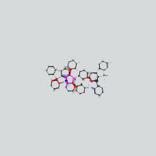 CC1(C)c2ccccc2-c2ccc3c(c21)c1ccccc1n3-c1cccc(C#N)c1-c1c(-c2nc(-c3ccccc3)nc(-c3ccccc3)n2)cccc1-n1c2ccccc2c2c3c(ccc21)-c1ccccc1C3(C)C